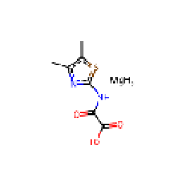 Cc1nc(NC(=O)C(=O)O)sc1C.[MgH2]